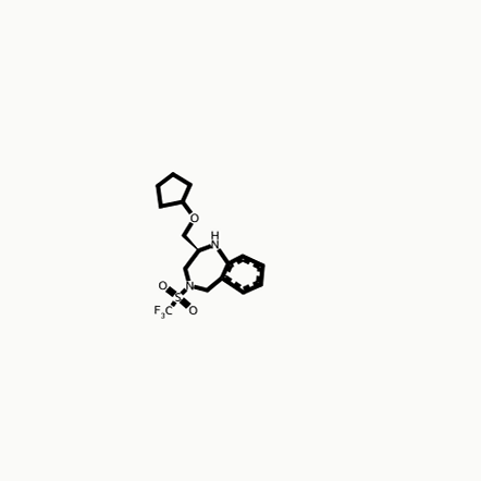 O=S(=O)(N1Cc2ccccc2N[C@H](COC2CCCC2)C1)C(F)(F)F